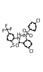 CSc1ccc(C(F)(F)F)cc1NC(=O)c1cc(Cl)ccc1NS(=O)(=O)c1ccc(Cl)cc1